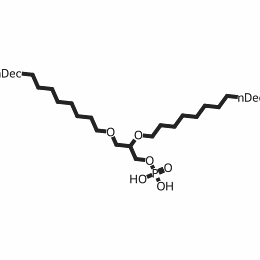 CCCCCCCCCCCCCCCCCCOCC(COP(=O)(O)O)OCCCCCCCCCCCCCCCCCC